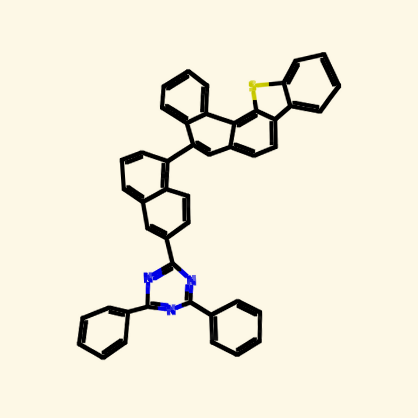 c1ccc(-c2nc(-c3ccccc3)nc(-c3ccc4c(-c5cc6ccc7c8ccccc8sc7c6c6ccccc56)cccc4c3)n2)cc1